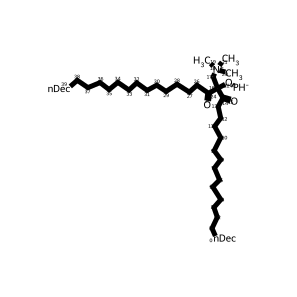 CCCCCCCCCCCCCCCCCCCCCCCC(=O)C(C[N+](C)(C)C)(O[PH-])C(=O)CCCCCCCCCCCCCCCCCCCCCCC